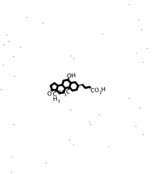 C[C@]12CC[C@H](CCCC(=O)O)CC1[C@H](O)CC1C2CC[C@]2(C)C(=O)CCC12